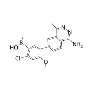 COc1cc(Cl)c(B(C)O)cc1-c1ccc2c(N)nnc(C)c2c1